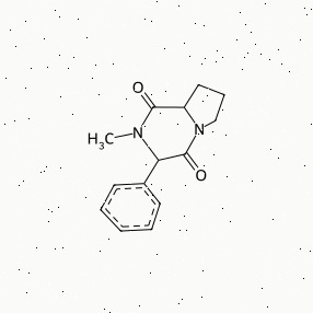 CN1C(=O)C2CCCN2C(=O)C1c1ccccc1